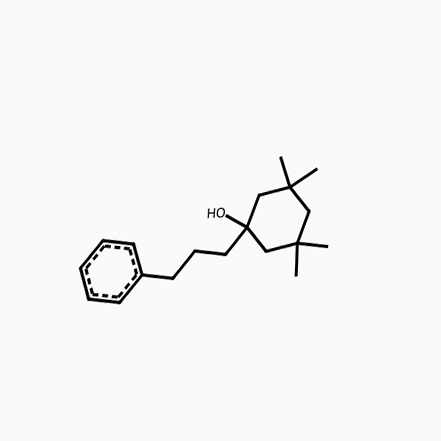 CC1(C)CC(C)(C)CC(O)(CCCc2ccccc2)C1